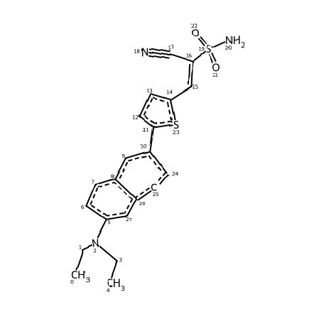 CCN(CC)c1ccc2cc(-c3ccc(/C=C(\C#N)S(N)(=O)=O)s3)ccc2c1